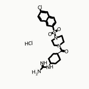 Cl.N=C(N)N[C@H]1CC[C@@H](C(=O)N2CCN(S(=O)(=O)c3ccc4cc(Cl)ccc4c3)CC2)CC1